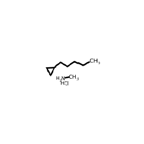 CCCCCC1CC1.CN.Cl